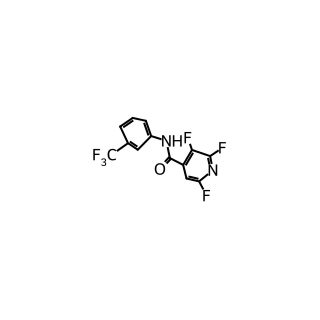 O=C(Nc1cccc(C(F)(F)F)c1)c1cc(F)nc(F)c1F